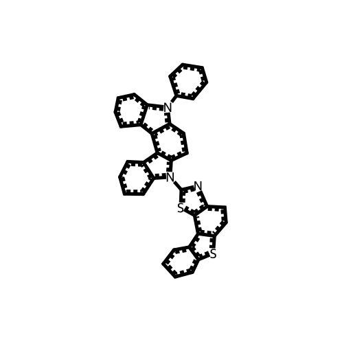 c1ccc(-n2c3ccccc3c3c4c5ccccc5n(-c5nc6ccc7sc8ccccc8c7c6s5)c4ccc32)cc1